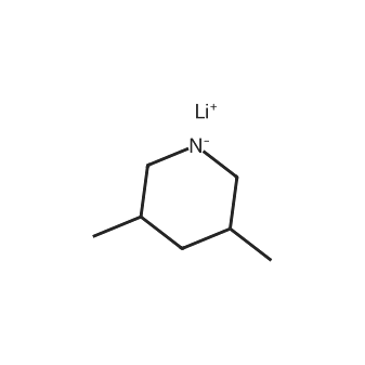 CC1C[N-]CC(C)C1.[Li+]